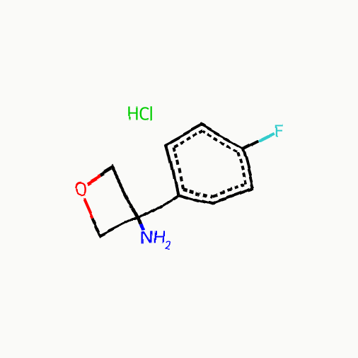 Cl.NC1(c2ccc(F)cc2)COC1